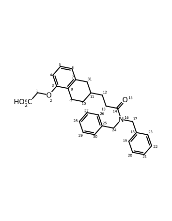 O=C(O)COc1cccc2c1CCC(CCC(=O)N(Cc1ccccc1)Cc1ccccc1)C2